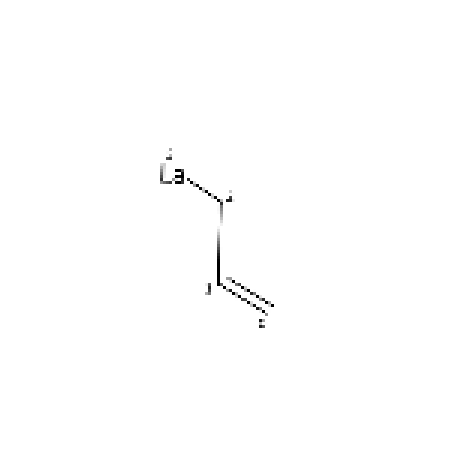 C=C[CH2][La]